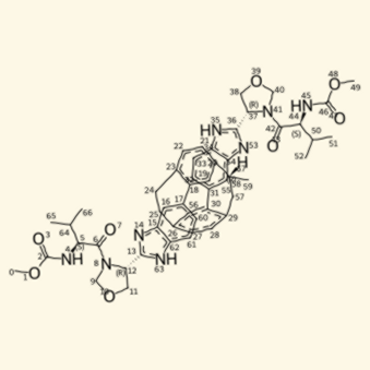 COC(=O)N[C@H](C(=O)N1COC[C@H]1c1nc2cc(-c3cc4ccc3CCc3ccc(c(-c5ccc6[nH]c([C@@H]7COCN7C(=O)[C@@H](NC(=O)OC)C(C)C)nc6c5)c3)C[C@H]4C)ccc2[nH]1)C(C)C